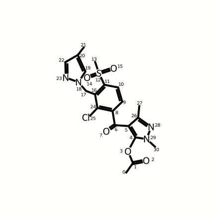 CC(=O)Oc1c(C(=O)c2ccc(S(C)(=O)=O)c(Cn3cc(C)cn3)c2Cl)c(C)nn1C